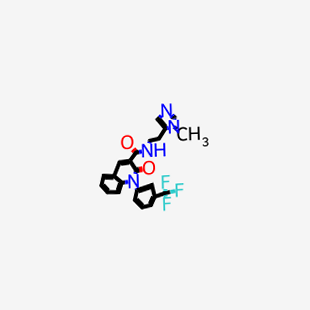 Cn1cncc1CCNC(=O)c1cc2ccccc2n(-c2cccc(C(F)(F)F)c2)c1=O